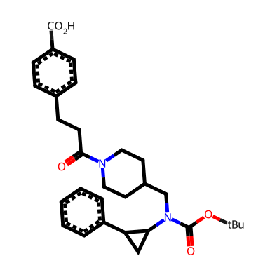 CC(C)(C)OC(=O)N(CC1CCN(C(=O)CCc2ccc(C(=O)O)cc2)CC1)C1CC1c1ccccc1